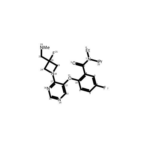 CCN(C(=O)c1cc(F)ccc1Oc1cncnc1N1CC(F)(CNC)C1)C(C)C